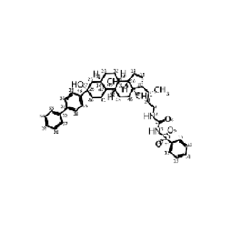 C[C@H](CCNC(=O)NS(=O)(=O)c1ccccc1)[C@H]1CC[C@H]2[C@@H]3CC[C@@H]4C[C@](O)(c5ccc(-c6ccccc6)cc5)CC[C@]4(C)[C@H]3CC[C@]12C